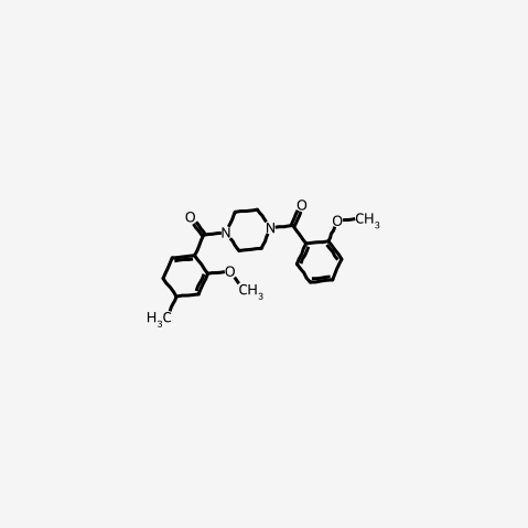 COC1=CC(C)CC=C1C(=O)N1CCN(C(=O)c2ccccc2OC)CC1